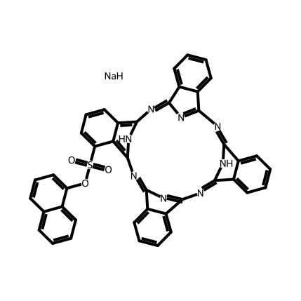 O=S(=O)(Oc1cccc2ccccc12)c1cccc2c3nc4nc(nc5[nH]c(nc6nc(nc([nH]3)c12)-c1ccccc1-6)c1ccccc51)-c1ccccc1-4.[NaH]